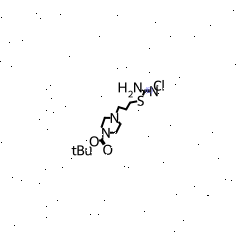 CC(C)(C)OC(=O)N1CCN(CCCS/C(N)=N/Cl)CC1